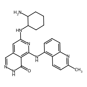 Cc1ccc2c(Nc3nc(NC4CCCCC4N)cc4cn[nH]c(=O)c34)cccc2n1